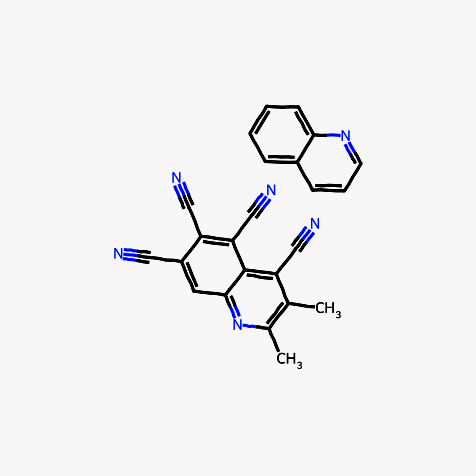 Cc1nc2cc(C#N)c(C#N)c(C#N)c2c(C#N)c1C.c1ccc2ncccc2c1